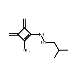 C=C1C(=C)C(NNCC(C)C)=C1N